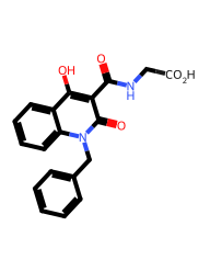 O=C(O)CNC(=O)c1c(O)c2ccccc2n(Cc2ccccc2)c1=O